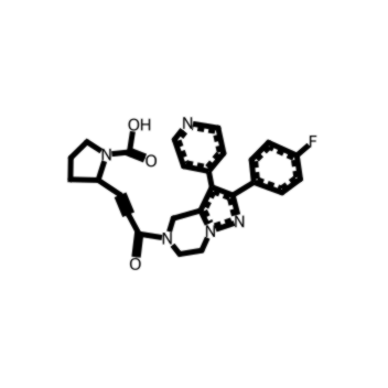 O=C(C#CC1CCCN1C(=O)O)N1CCn2nc(-c3ccc(F)cc3)c(-c3ccncc3)c2C1